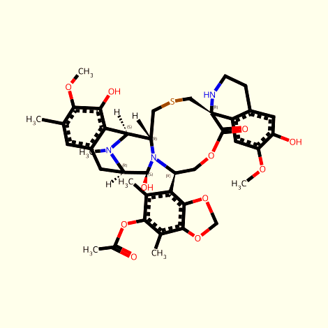 COc1cc2c(cc1O)CCN[C@]21CSC[C@H]2[C@@H]3c4c(cc(C)c(OC)c4O)C[C@H]([C@H](O)N2[C@H](c2c(C)c(OC(C)=O)c(C)c4c2OCO4)COC1=O)N3C